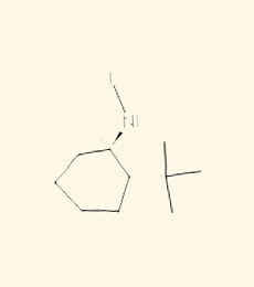 CC(C)(C)[C@@H]1CCCC[C@H]1NI